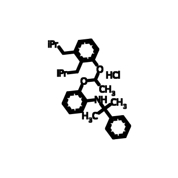 CC(C)Cc1cccc(OC(C)Oc2ccccc2NC(C)(C)c2ccccc2)c1CC(C)C.Cl